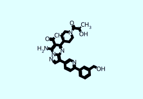 CC(=O)c1c(C2CCN(C(=O)[C@@H](C)O)CC2)nc2c(-c3ccc(-c4cccc(CO)c4)nc3)cnn2c1N